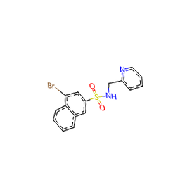 O=S(=O)(NCc1ccccn1)c1cc(Br)c2ccccc2c1